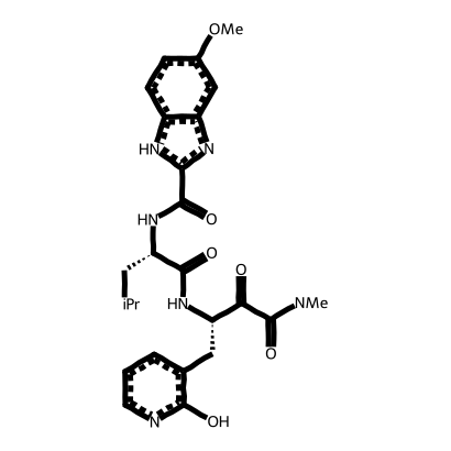 CNC(=O)C(=O)[C@H](Cc1cccnc1O)NC(=O)[C@H](CC(C)C)NC(=O)c1nc2cc(OC)ccc2[nH]1